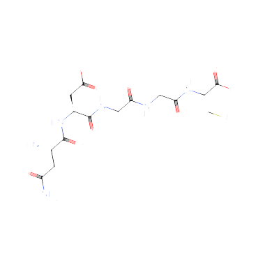 NC(=O)C[C@H](N)C(=O)N[C@@H](CC(=O)O)C(=O)NCC(=O)NCC(=O)N[C@@H](CS)C(=O)O